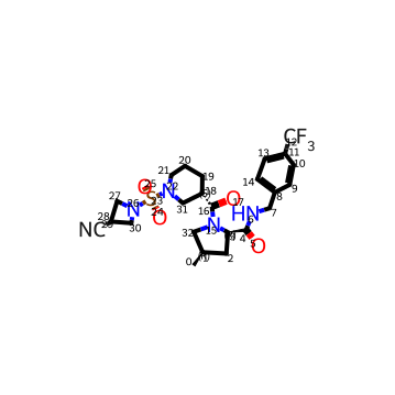 C[C@@H]1C[C@H](C(=O)NCc2ccc(C(F)(F)F)cc2)N(C(=O)[C@H]2CCCN(S(=O)(=O)N3CC(C#N)C3)C2)C1